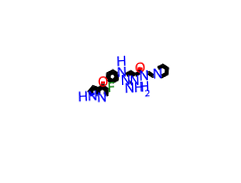 Nc1nc(Nc2ccc(Oc3ccnc4[nH]ccc34)c(F)c2)cc(C(=O)NCCN2CCCCC2)n1